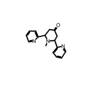 CN1C(c2ccccn2)CC(=O)CC1c1ccccn1